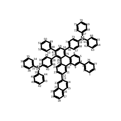 c1ccc(-c2ccc3c(c2)c2cc(-c4ccc5ccccc5c4)ccc2c2c(-c4ccc(N(c5ccccc5)c5ccccc5)cc4)c(-c4ccccc4)cc(-c4ccc(N(c5ccccc5)c5ccccc5)cc4)c32)cc1